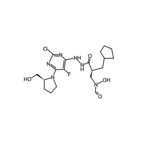 O=CN(O)C[C@H](CC1CCCC1)C(=O)NNc1nc(Cl)nc(N2CCC[C@H]2CO)c1F